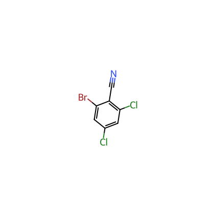 N#Cc1c(Cl)cc(Cl)cc1Br